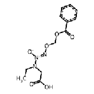 CCN(CC(=O)O)[N+]([O-])=NOCOC(=O)c1ccccc1